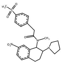 CN(C(=O)Cc1ccc(S(C)(=O)=O)cc1)C1c2cc([N+](=O)[O-])ccc2CCC1N1CCCC1